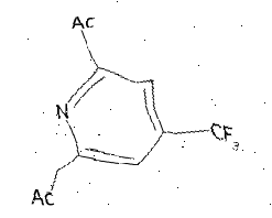 CC(=O)c1cc(C(F)(F)F)cc(C(C)=O)n1